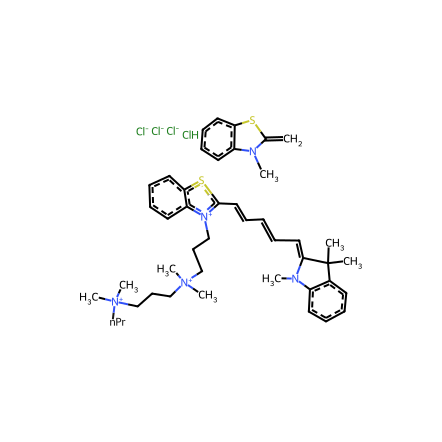 C=C1Sc2ccccc2N1C.CCC[N+](C)(C)CCC[N+](C)(C)CCC[n+]1c(C=CC=CC=C2N(C)c3ccccc3C2(C)C)sc2ccccc21.Cl.[Cl-].[Cl-].[Cl-]